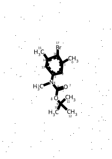 Cc1cc(N(C)C(=O)OC(C)(C)C)cc(C)c1Br